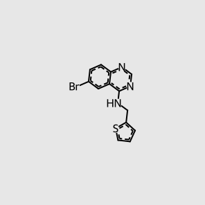 Brc1ccc2ncnc(NCc3cccs3)c2c1